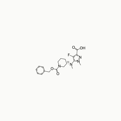 CN(c1c(F)c(C(=O)O)nn1C)[C@H]1CCCN(C(=O)OCc2ccccc2)C1